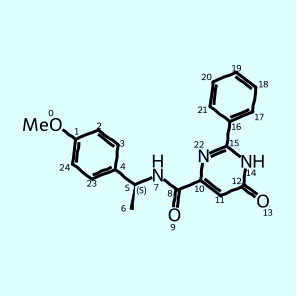 COc1ccc([C@H](C)NC(=O)c2cc(=O)[nH]c(-c3ccccc3)n2)cc1